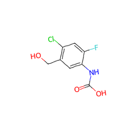 O=C(O)Nc1cc(CO)c(Cl)cc1F